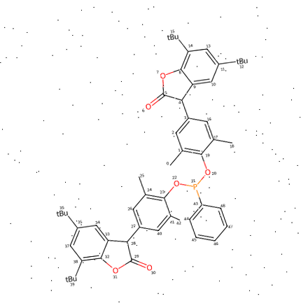 Cc1cc(C2C(=O)Oc3c2cc(C(C)(C)C)cc3C(C)(C)C)cc(C)c1OP(Oc1c(C)cc(C2C(=O)Oc3c2cc(C(C)(C)C)cc3C(C)(C)C)cc1C)c1ccccc1